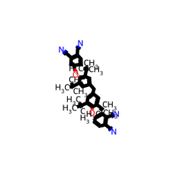 CC(C)(C)c1cc(Cc2cc(C(C)(C)C)c(Oc3ccc(C#N)c(C#N)c3)c(C(C)(C)C)c2)cc(C(C)(C)C)c1Oc1ccc(C#N)c(C#N)c1